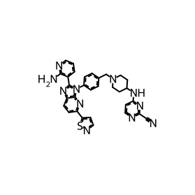 N#Cc1nccc(NC2CCN(Cc3ccc(-n4c(-c5cccnc5N)nc5ccc(-c6ccns6)nc54)cc3)CC2)n1